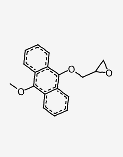 COc1c2ccccc2c(OCC2CO2)c2ccccc12